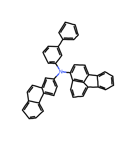 c1ccc(-c2cccc(N(c3ccc4c(ccc5ccccc54)c3)c3ccc4c5c(cccc35)-c3ccccc3-4)c2)cc1